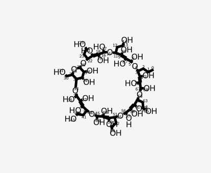 CCCC1OC(O)/C(O)=C(\O)C(CCO)OC(O)/C(O)=C(\O)C(CCO)OC2OC(CO)C(OC(O)/C(O)=C(\O)C(CCO)OC(O)/C(O)=C(\O)C(CCO)OC(O)/C(O)=C(/O)C(CCO)OC(O)/C(O)=C/1O)C(O)C2O